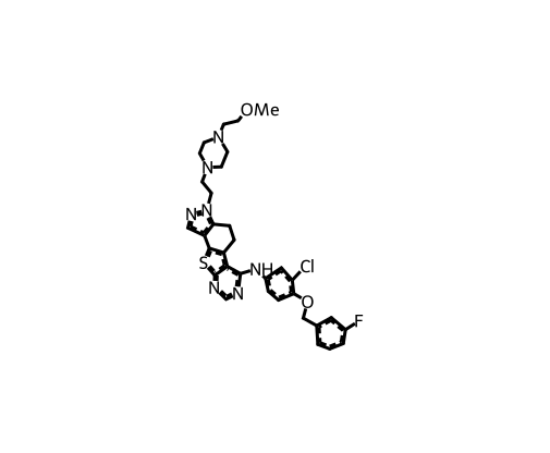 COCCN1CCN(CCn2ncc3c2CCc2c-3sc3ncnc(Nc4ccc(OCc5cccc(F)c5)c(Cl)c4)c23)CC1